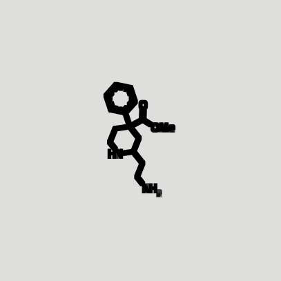 COC(=O)C1(c2ccccc2)CCNC(CCN)C1